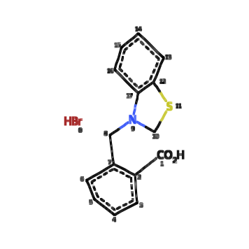 Br.O=C(O)c1ccccc1CN1CSc2ccccc21